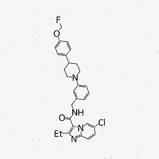 CCc1nc2ccc(Cl)cn2c1C(=O)NCc1cccc(N2CCC(c3ccc(OCF)cc3)CC2)c1